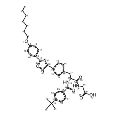 CCCCCCCOc1ccc(-c2nc(-c3ccc(CC(NC(=O)c4ccc(C(C)(C)C)cc4)C(=O)NCC(=O)O)cc3)no2)cc1